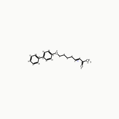 O=C(/C=C/CCCCOc1ccc(-c2ccccc2)cc1)C(F)(F)F